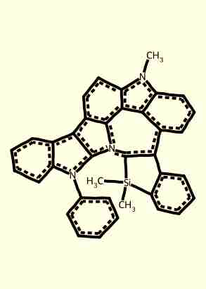 Cn1c2cccc3c4c(n5c6c(ccc1c6c32)c1c2ccccc2n(-c2ccccc2)c15)[Si](C)(C)c1ccccc1-4